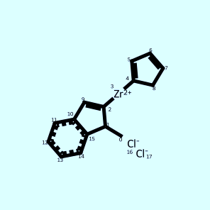 CC1[C]([Zr+2][C]2=CC=CC2)=Cc2ccccc21.[Cl-].[Cl-]